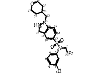 CC(C)CN(c1cccc(Cl)c1)S(=O)(=O)c1ccc2c(c1)CNN2CC1CCOCC1